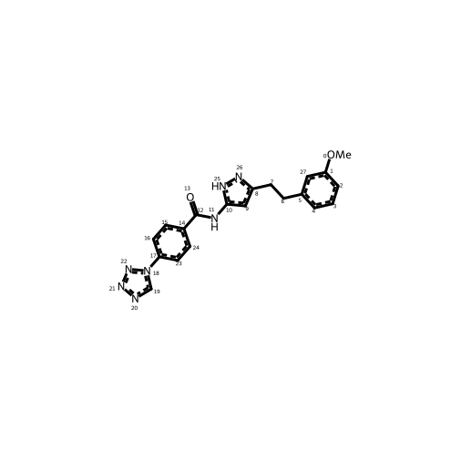 COc1cccc(CCc2cc(NC(=O)c3ccc(-n4cnnn4)cc3)[nH]n2)c1